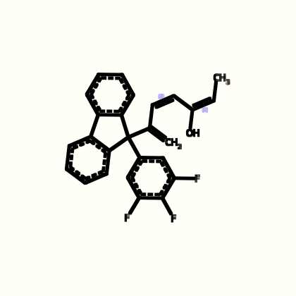 C=C(/C=C\C(O)=C/C)C1(c2cc(F)c(F)c(F)c2)c2ccccc2-c2ccccc21